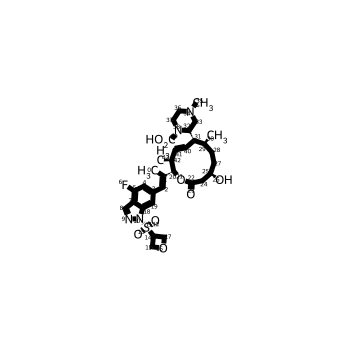 C/C(=C\c1cc(F)c2cnn(S(=O)(=O)C3COC3)c2c1)[C@H]1OC(=O)C[C@H](O)CC[C@H](C)[C@@H](C2CN(C)CCN2C(=O)O)/C=C/[C@@H]1C